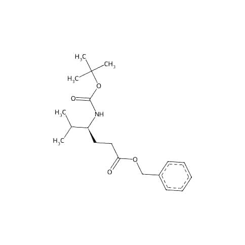 CC(C)[C@H](CCC(=O)OCc1ccccc1)NC(=O)OC(C)(C)C